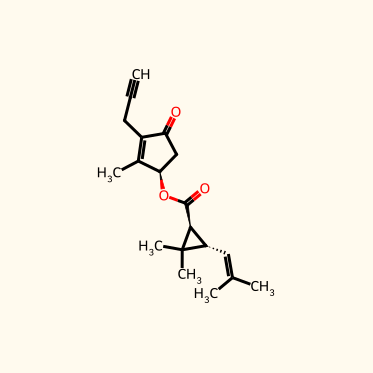 C#CCC1=C(C)[C@H](OC(=O)[C@H]2[C@H](C=C(C)C)C2(C)C)CC1=O